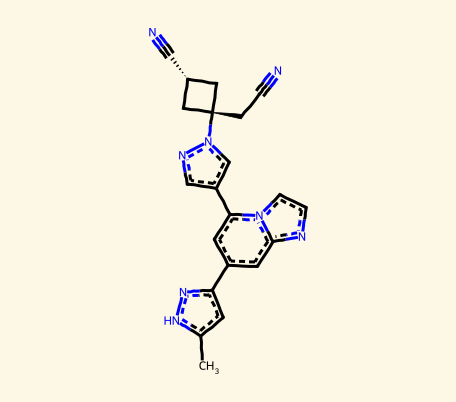 Cc1cc(-c2cc(-c3cnn([C@]4(CC#N)C[C@H](C#N)C4)c3)n3ccnc3c2)n[nH]1